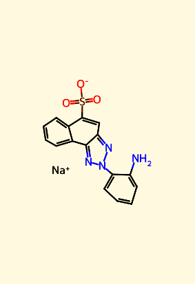 Nc1ccccc1-n1nc2cc(S(=O)(=O)[O-])c3ccccc3c2n1.[Na+]